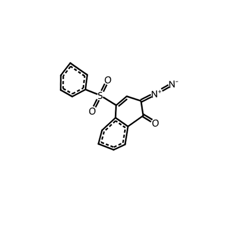 [N-]=[N+]=C1C=C(S(=O)(=O)c2ccccc2)c2ccccc2C1=O